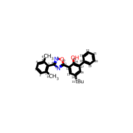 Cc1cccc(C)c1-c1noc(-c2cc(C(C)(C)C)cc(-c3ccccc3)c2O)n1